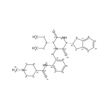 CCC(CC)[C@@H]1C(=O)N[C@H](C2Cc3ccccc3C2)C(=O)N1Cc1ccccc1NC(=O)C1CCN(C)CC1